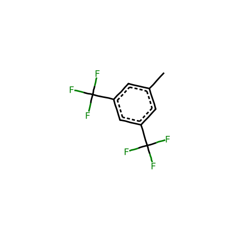 Cc1cc(C(F)(F)F)cc(C(F)(F)F)c1